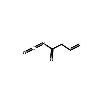 C=CCC(=O)N=C=O